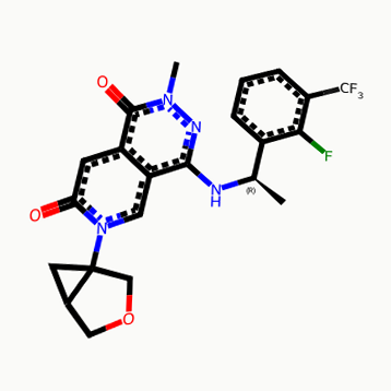 C[C@@H](Nc1nn(C)c(=O)c2cc(=O)n(C34COCC3C4)cc12)c1cccc(C(F)(F)F)c1F